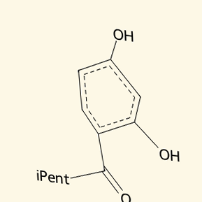 CCCC(C)C(=O)c1ccc(O)cc1O